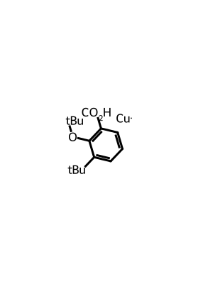 CC(C)(C)Oc1c(C(=O)O)cccc1C(C)(C)C.[Cu]